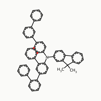 CC1(C)c2ccccc2-c2ccc(N(c3ccc(-c4cccc(-c5ccccc5)c4)cc3)c3ccc(-c4ccccc4-c4ccccc4)cc3-c3ccccc3)cc21